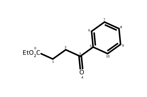 CCOC(=O)CCC(=O)c1ccccc1